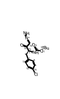 CC(C)(C)OC(=O)N[C@@H](Cc1ccc(Cl)cc1)C(=O)C=[N+]=N